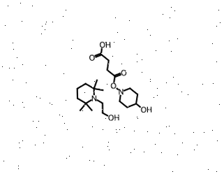 CC1(C)CCCC(C)(C)N1CCO.O=C(O)CCC(=O)ON1CCC(O)CC1